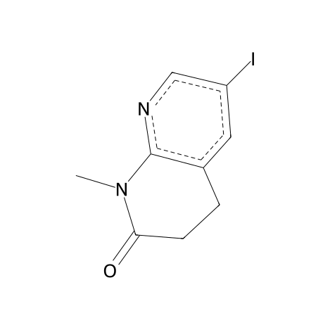 CN1C(=O)CCc2cc(I)cnc21